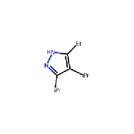 CCc1[nH]nc(C(C)C)c1C(C)C